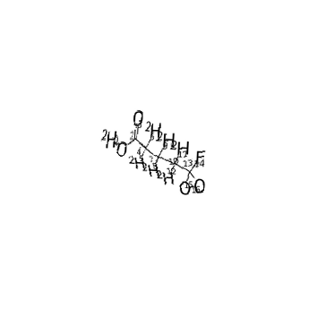 [2H]OC(=O)C([2H])([2H])C([2H])([2H])C([2H])([2H])C1(F)OO1